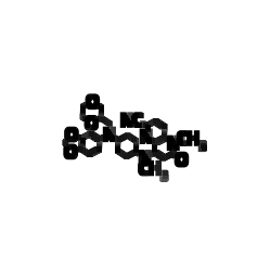 CN(c1cc(=O)n(C)c2ccc(C#N)nc12)C1CCC(N(CC2COCCO2)c2ccc3c(c2)OCO3)CC1